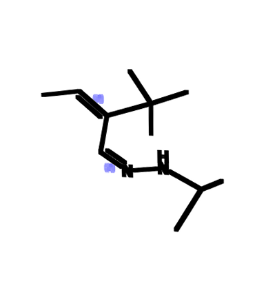 C/C=C(\C=N/NC(C)C)C(C)(C)C